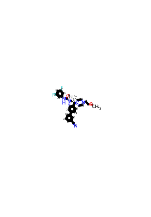 COCCN1CCN([C@@H](CNC(=O)Nc2cc(F)cc(F)c2)c2ccc(-c3cccc(C#N)c3)cc2)[C@@H](C)C1